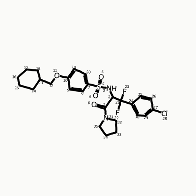 O=C(C(NS(=O)(=O)c1ccc(OCC2CCCCC2)cc1)C(F)(F)c1ccc(Cl)cc1)N1CCCC1